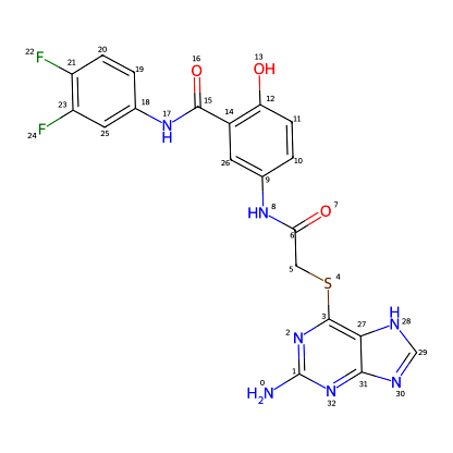 Nc1nc(SCC(=O)Nc2ccc(O)c(C(=O)Nc3ccc(F)c(F)c3)c2)c2[nH]cnc2n1